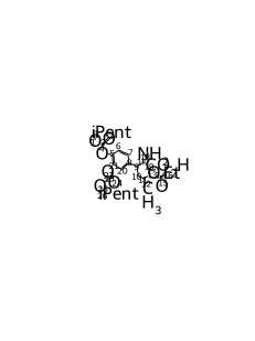 CCCC(C)OC(=O)Oc1ccc(C(CC(C)OC(=O)CC)[C@H](N)C(=O)O)cc1OC(=O)OC(C)CCC